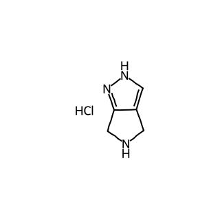 Cl.c1[nH]nc2c1CNC2